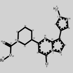 Cn1cc(-c2cnn3c(Cl)cc(C4CCCN(C(=O)OC(C)(C)C)C4)nc23)cn1